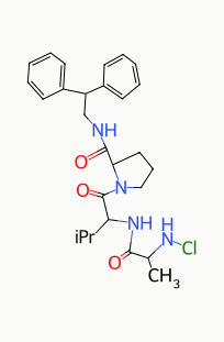 CC(NCl)C(=O)NC(C(=O)N1CCCC1C(=O)NCC(c1ccccc1)c1ccccc1)C(C)C